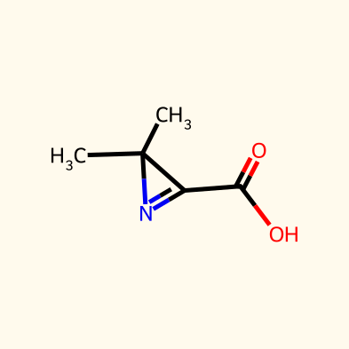 CC1(C)N=C1C(=O)O